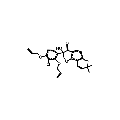 C=CCOc1ccc(C2(O)COc3c(ccc4c3C=CC(C)(C)O4)C2=O)c(OCC=C)c1Cl